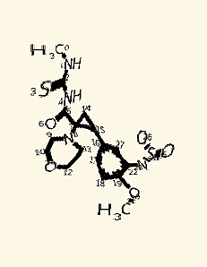 CNC(=S)NC(=O)C1(N2CCOCC2)CC1c1ccc(OC)c(N=S(=O)=O)c1